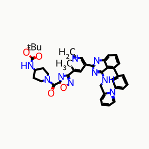 C=N/C=C(\C=C(/C)c1noc(C(=O)N2CCC(NC(=O)OC(C)(C)C)CC2)n1)c1nc(NCc2ccccn2)c2c(-c3ccccc3)cccc2n1